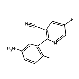 Cc1ccc(N)cc1-c1ncc(F)cc1C#N